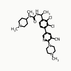 CC(NC(=O)N(C)C1CCN(C)CC1)c1ccc(-c2cnc(N3CCN(C)CC3)c(C#N)c2)c(Cl)c1Cl